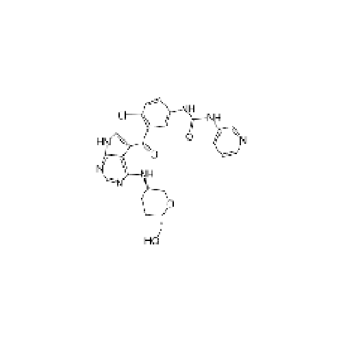 O=C(Nc1cccnc1)Nc1ccc(Cl)c(C(=O)c2c[nH]c3ncnc(N[C@@H]4CC[C@@H](CO)OC4)c23)c1